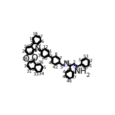 N/C(=C\C(/N=C/c1ccc(-c2ccc(-n3c4ccccc4c4ccc5c(c43)Oc3c(ccc4ccccc34)O5)cc2)cc1)c1ccccc1)c1ccccc1